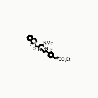 CCOC(=O)/C=C/c1ccc(-c2cc3nc(C(=O)N4CCc5ccccc5[C@H]4C)cc(NC)n3n2)c(F)c1